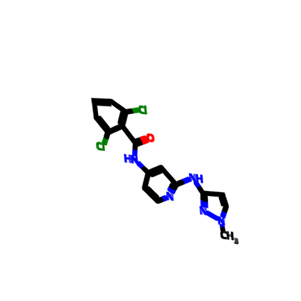 Cn1ccc(Nc2cc(NC(=O)c3c(Cl)cccc3Cl)ccn2)n1